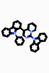 C1=CCN2C(=C1)C(c1cccc3c4ccccc4n(-c4ccccc4)c13)=CN=C2n1c2ccccc2c2ccccc21